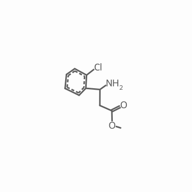 COC(=O)CC(N)c1ccccc1Cl